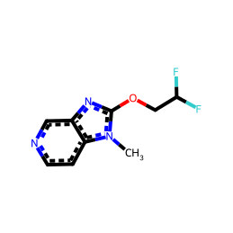 Cn1c(OCC(F)F)nc2cnccc21